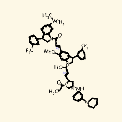 C=CC(=O)N1C[C@@H](Nc2cccc(N3CCCCC3)c2)CC1/C=C/C(O)N1CC(c2cccc(C(F)(F)F)c2)c2cc(/C=C/C(=O)N3CC(c4cccc(C(F)(F)F)c4)c4ccc(N(C)C)cc43)c(OC)cc21